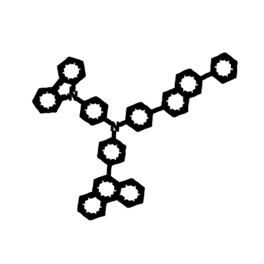 c1ccc(-c2ccc3cc(-c4ccc(N(c5ccc(-c6cc7ccccc7c7ccccc67)cc5)c5ccc(-n6c7ccccc7c7ccccc76)cc5)cc4)ccc3c2)cc1